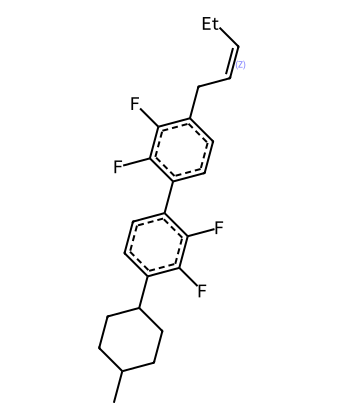 CC/C=C\Cc1ccc(-c2ccc(C3CCC(C)CC3)c(F)c2F)c(F)c1F